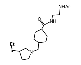 CCSC1CCN(CC2CCC(C(=O)NCCNC(C)=O)CC2)C1